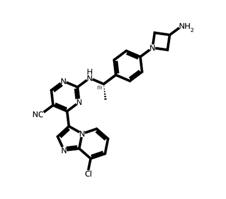 C[C@H](Nc1ncc(C#N)c(-c2cnc3c(Cl)cccn23)n1)c1ccc(N2CC(N)C2)cc1